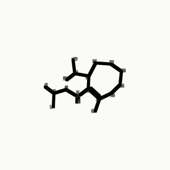 C/C1=C(\NCC(C)C)C(C(C)C)CCCCC1